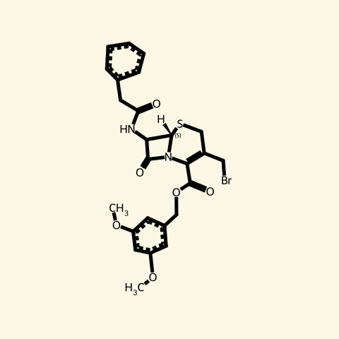 COc1cc(COC(=O)C2=C(CBr)CS[C@H]3C(NC(=O)Cc4ccccc4)C(=O)N23)cc(OC)c1